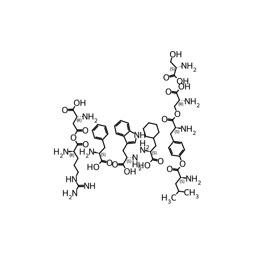 CC(C)C[C@H](N)C(=O)Oc1ccc(C[C@H](N)C(=O)OC[C@@H](N)C(=O)O)cc1.N=C(N)NCCC[C@@H](N)C(=O)OC(=O)C[C@@H](N)C(=O)O.N[C@@H](CC1CCCCC1)C(=O)O.N[C@@H](CO)C(=O)O.N[C@@H](Cc1c[nH]c2ccccc12)C(=O)O.N[C@@H](Cc1ccccc1)C(=O)O